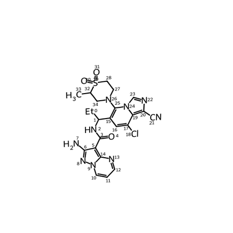 CCC(NC(=O)c1c(N)nn2cccnc12)c1cc(Cl)c2c(C#N)ncn2c1N1CCS(=O)(=O)C(C)C1